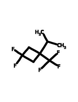 CC(C)C1(C(F)(F)F)CC(F)(F)C1